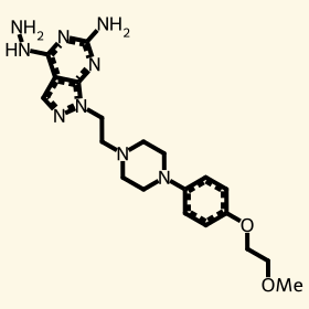 COCCOc1ccc(N2CCN(CCn3ncc4c(NN)nc(N)nc43)CC2)cc1